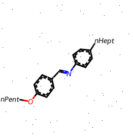 CCCCCCCc1ccc(N=Cc2ccc(OCCCCC)cc2)cc1